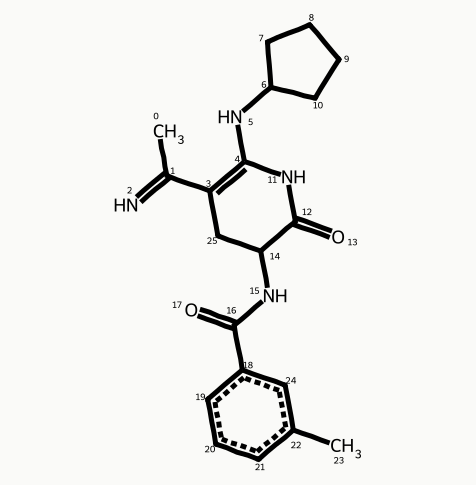 CC(=N)C1=C(NC2CCCC2)NC(=O)C(NC(=O)c2cccc(C)c2)C1